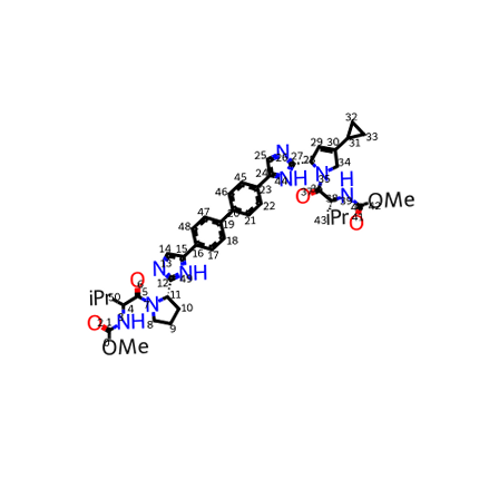 COC(=O)NC(C(=O)N1CCC[C@H]1c1ncc(-c2ccc(-c3ccc(-c4cnc([C@@H]5C=C(C6CC6)CN5C(=O)[C@H](NC(=O)OC)C(C)C)[nH]4)cc3)cc2)[nH]1)C(C)C